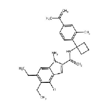 C=C(C)c1ccc(C2(NC(=C)c3cc4c(Cl)c(CC)c(CC)cc4n3N)CCC2)c(C)c1